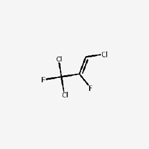 FC(=CCl)C(F)(Cl)Cl